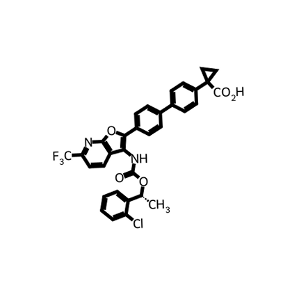 C[C@@H](OC(=O)Nc1c(-c2ccc(-c3ccc(C4(C(=O)O)CC4)cc3)cc2)oc2nc(C(F)(F)F)ccc12)c1ccccc1Cl